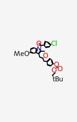 COc1ccc2c(c1)c(CC(=O)Cc1ccc(OC(=O)OCCC(C)(C)C)cc1)c(C)n2C(=O)c1ccc(Cl)cc1